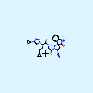 CC(C)(C)C[C@H](NC(=O)[C@H](CCC1CC1)n1cc(C2CC2)nn1)C(=O)N1C[C@]2(C[C@H]1C#N)C(=O)Nc1ccccc12